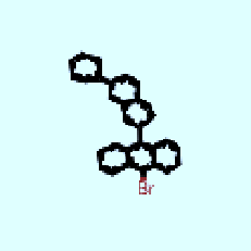 Brc1c2ccccc2c(-c2ccc3ccc(-c4ccccc4)cc3c2)c2ccccc12